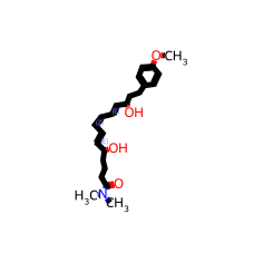 COc1ccc(CCC(O)/C=C/C=C\C=C\C(O)CCCC(=O)N(C)C)cc1